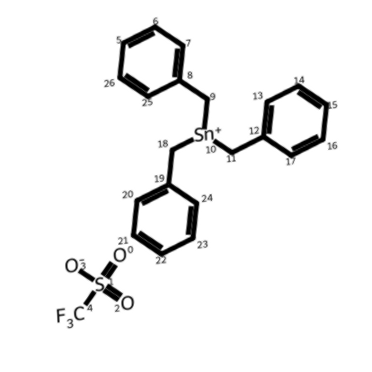 O=S(=O)([O-])C(F)(F)F.c1ccc([CH2][Sn+]([CH2]c2ccccc2)[CH2]c2ccccc2)cc1